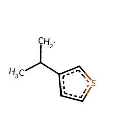 [CH2]C(C)c1ccsc1